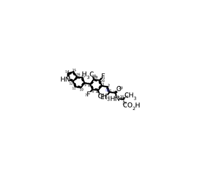 CC/C(=C\c1c(C)c(F)c(-c2ccc3[nH]ccc3c2)c(C)c1F)C(=O)N[C@H](C)C(=O)O